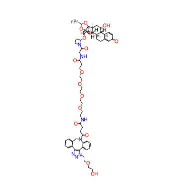 CCCC1O[C@@H]2C[C@H]3[C@@H]4CCC5=CC(=O)C=C[C@]5(C)[C@H]4[C@@H](O)C[C@]3(C)[C@]2(C(=O)COC2CCN2C(=O)CNC(=O)CCOCCOCCOCCOCCNC(=O)CCC(=O)N2Cc3ccccc3-c3nnn(CCOCCO)c3-c3ccccc32)O1